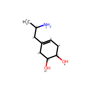 CC(N)CC1=CCC(O)C(O)C1